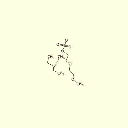 CC[S+](CC)CC.COCCOCCOS(=O)(=O)[O-]